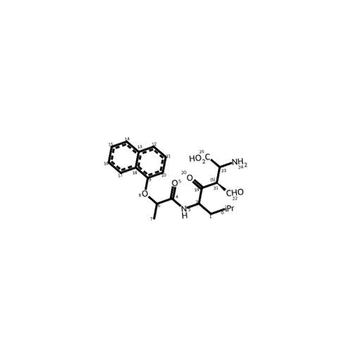 CC(C)CC(NC(=O)C(C)Oc1cccc2ccccc12)C(=O)[C@H](C=O)C(N)C(=O)O